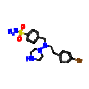 NS(=O)(=O)c1ccc(CN(CCc2ccc(Br)cc2)N2CCNCC2)cc1